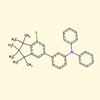 CC1(C)c2cc(-c3cccc(N(c4ccccc4)c4ccccc4)c3)cc(F)c2C(C)(C)C1(C)C